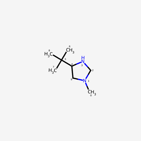 CN1CNC(C(C)(C)C)C1